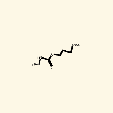 CCCCCCCCCCCCOC(=O)NCCCCCCCCC